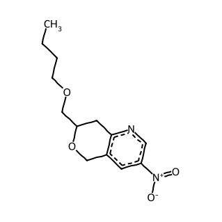 CCCCOCC1Cc2ncc([N+](=O)[O-])cc2CO1